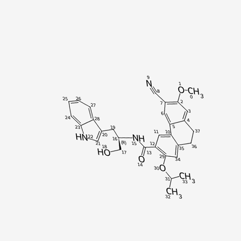 COc1cc2c(cc1C#N)-c1cc(C(=O)N[C@@H](CO)Cc3c[nH]c4ccccc34)c(OC(C)C)cc1CC2